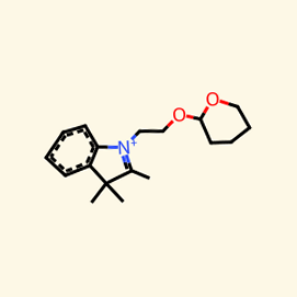 CC1=[N+](CCOC2CCCCO2)c2ccccc2C1(C)C